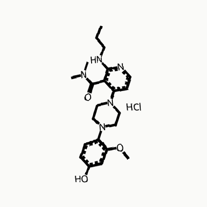 CCCNc1nccc(N2CCN(c3ccc(O)cc3OC)CC2)c1C(=O)N(C)C.Cl